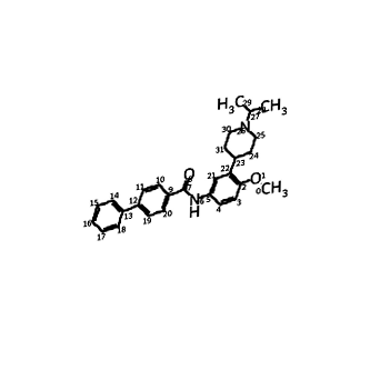 COc1ccc(NC(=O)c2ccc(-c3ccccc3)cc2)cc1C1CCN(C(C)C)CC1